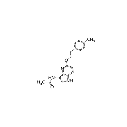 CC(=O)Nc1c[nH]c2ccc(OCCc3ccc(C)cc3)nc12